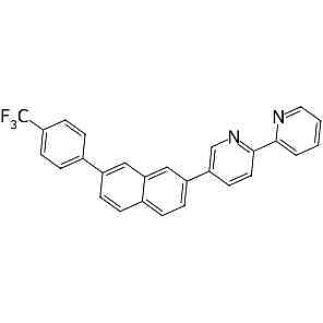 FC(F)(F)c1ccc(-c2ccc3ccc(-c4ccc(-c5ccccn5)nc4)cc3c2)cc1